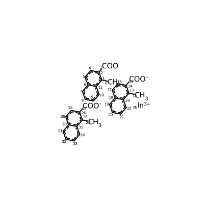 Cc1c(C(=O)[O-])ccc2ccccc12.Cc1c(C(=O)[O-])ccc2ccccc12.Cc1c(C(=O)[O-])ccc2ccccc12.[In+3]